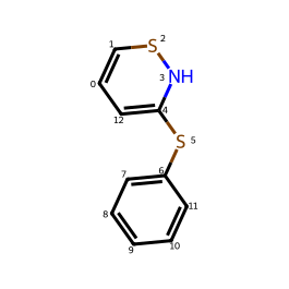 C1=CSNC(Sc2ccccc2)=C1